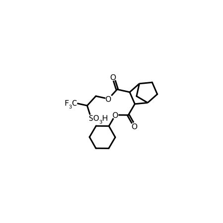 O=C(OCC(C(F)(F)F)S(=O)(=O)O)C1C2CCC(C2)C1C(=O)OC1CCCCC1